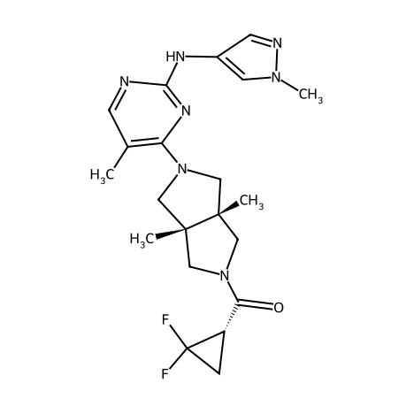 Cc1cnc(Nc2cnn(C)c2)nc1N1C[C@]2(C)CN(C(=O)[C@@H]3CC3(F)F)C[C@]2(C)C1